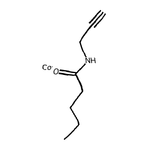 C#CCNC(=O)CCCC.[Co]